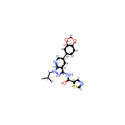 CC(C)Cn1nc(NC(=O)c2cncs2)c2cc(-c3ccc4c(c3)OCO4)cnc21